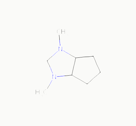 CN1CN(C)C2CCCC21